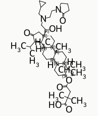 CC(C)C1=C2[C@H]3CC[C@@H]4[C@@]5(C)CC[C@H](OC(=O)CC(C)(C)C(=O)O)C(C)(C)[C@@H]5CC[C@@]4(C)[C@]3(C)CC[C@@]2([C@@H](O)CN(CCN2CCCC2=O)CC2CC2)CC1=O